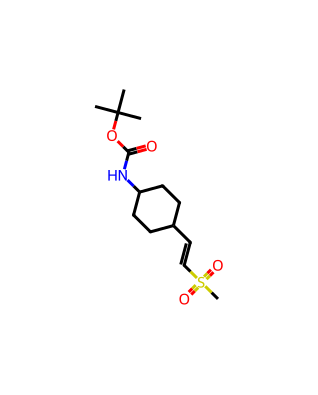 CC(C)(C)OC(=O)NC1CCC(/C=C/S(C)(=O)=O)CC1